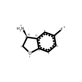 N[C@@H]1COc2ccc(F)cc21